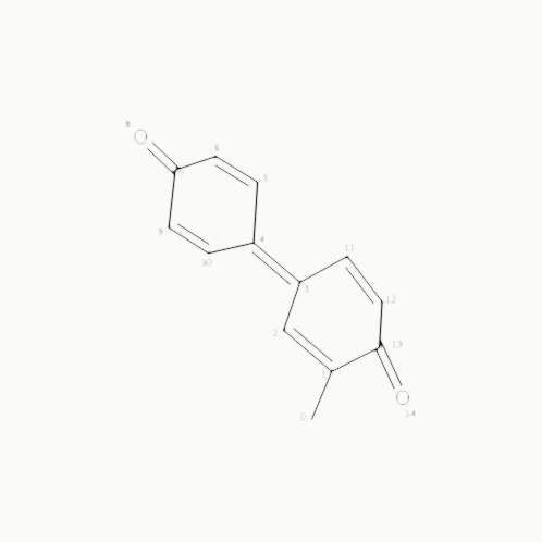 CC1=CC(=C2C=CC(=O)C=C2)C=CC1=O